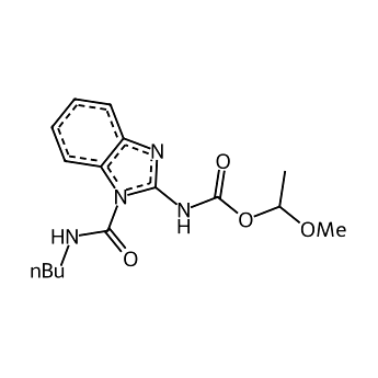 CCCCNC(=O)n1c(NC(=O)OC(C)OC)nc2ccccc21